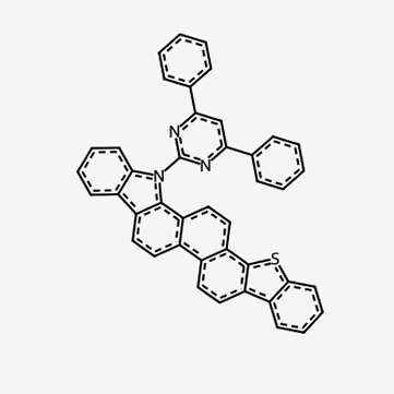 c1ccc(-c2cc(-c3ccccc3)nc(-n3c4ccccc4c4ccc5c6ccc7c8ccccc8sc7c6ccc5c43)n2)cc1